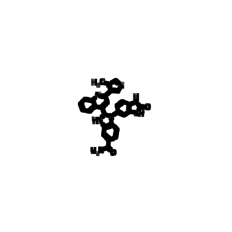 Cn1cncc1-c1cc(C2Nc3cc(C(N)=O)ccc3N2c2ccc3[nH]c(=O)[nH]c3c2)c2ccccc2n1